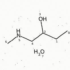 CCC(O)CNC.O